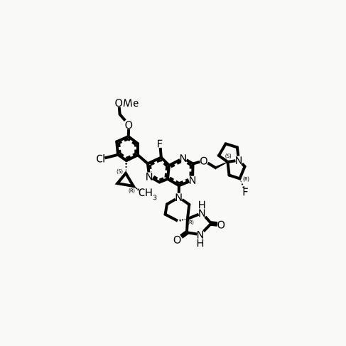 COCOc1cc(Cl)c([C@H]2C[C@H]2C)c(-c2ncc3c(N4CCC[C@]5(C4)NC(=O)NC5=O)nc(OC[C@@]45CCCN4C[C@H](F)C5)nc3c2F)c1